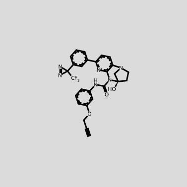 C#CCOc1cccc(NC(=O)N2c3nc(-c4cccc(C5(C(F)(F)F)N=N5)c4)ccc3N3CC[C@@]2(O)C3)c1